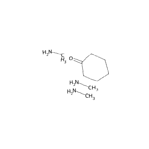 CN.CN.CN.O=C1CCCCC1